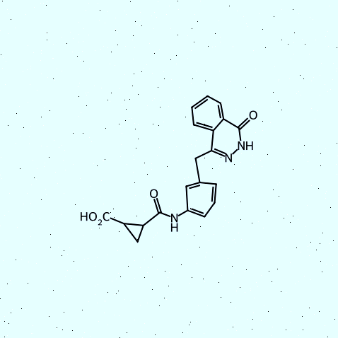 O=C(O)C1CC1C(=O)Nc1cccc(Cc2n[nH]c(=O)c3ccccc23)c1